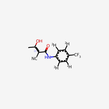 [2H]c1c([2H])c(C(F)(F)F)c([2H])c([2H])c1NC(=O)/C(C#N)=C(/C)O